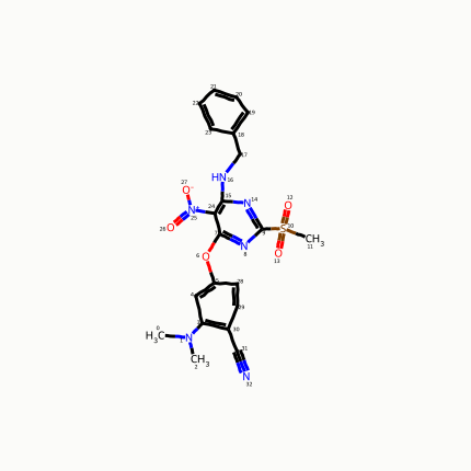 CN(C)c1cc(Oc2nc(S(C)(=O)=O)nc(NCc3ccccc3)c2[N+](=O)[O-])ccc1C#N